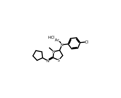 CC(=O)N(c1ccc(Cl)cc1)C1CSC(=NC2CCCC2)N1C.Cl